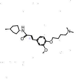 COc1cc(/C=C/C(=O)N[C@H]2CC[C@H](C)CC2)ccc1OCCCCN(C)C